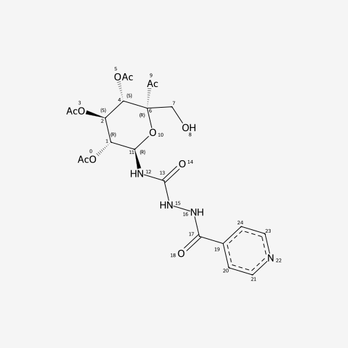 CC(=O)O[C@@H]1[C@@H](OC(C)=O)[C@H](OC(C)=O)[C@](CO)(C(C)=O)O[C@H]1NC(=O)NNC(=O)c1ccncc1